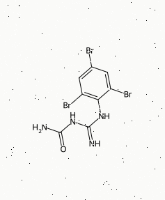 N=C(NC(N)=O)Nc1c(Br)cc(Br)cc1Br